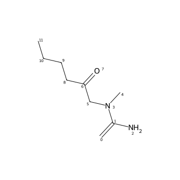 C=C(N)N(C)CC(=O)CCCC